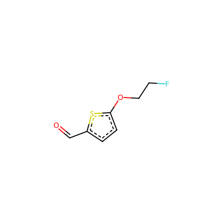 O=Cc1ccc(OCCF)s1